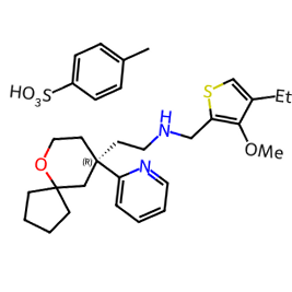 CCc1csc(CNCC[C@@]2(c3ccccn3)CCOC3(CCCC3)C2)c1OC.Cc1ccc(S(=O)(=O)O)cc1